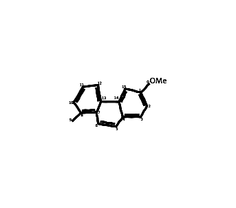 COc1ccc2ccc3c(C)cccc3c2c1